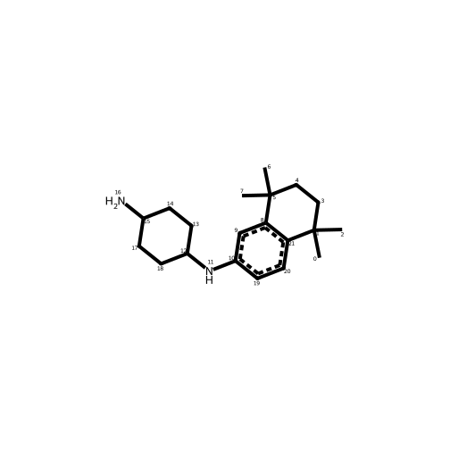 CC1(C)CCC(C)(C)c2cc(NC3CCC(N)CC3)ccc21